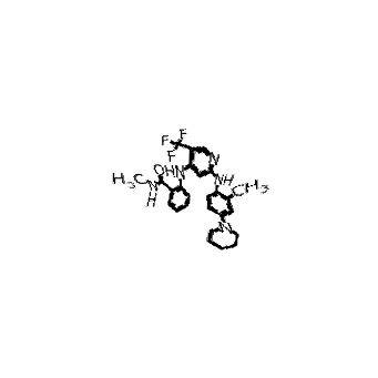 CNC(=O)c1ccccc1Nc1cc(Nc2ccc(N3CCCCC3)cc2C)ncc1C(F)(F)F